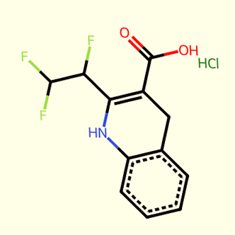 Cl.O=C(O)C1=C(C(F)C(F)F)Nc2ccccc2C1